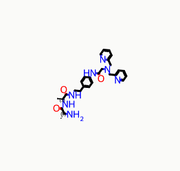 C[C@H](NC(=O)[C@@H](C)N)C(=O)NCCc1ccc(NC(=O)CN(Cc2ccccn2)Cc2ccccn2)cc1